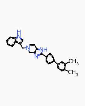 Cc1ccc(-c2ccc(-c3nc4c([nH]3)C=CN(Cc3c[nH]c5ccccc35)C4)cc2)cc1C